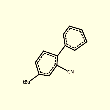 CC(C)(C)c1ccc(-c2ccccc2)c(C#N)c1